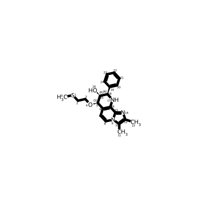 CSCCO[C@H]1c2ccn3c(C)c(C)nc3c2N[C@H](c2ccccc2)[C@H]1O